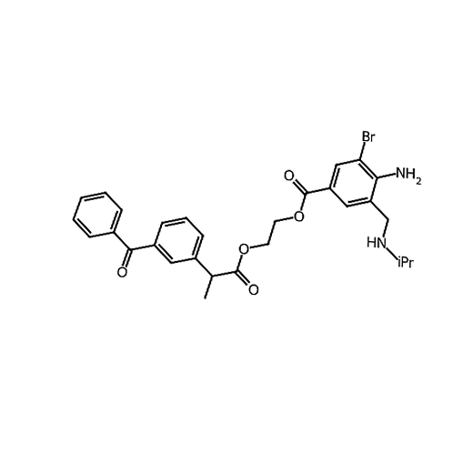 CC(C)NCc1cc(C(=O)OCCOC(=O)C(C)c2cccc(C(=O)c3ccccc3)c2)cc(Br)c1N